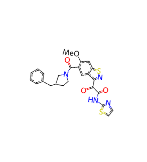 COc1cc2snc(C(=O)C(=O)Nc3nccs3)c2cc1C(=O)N1CCC(Cc2ccccc2)C1